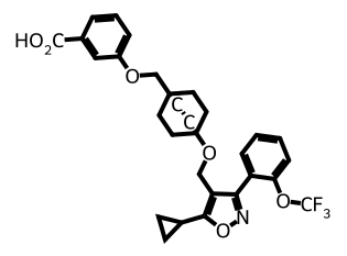 O=C(O)c1cccc(OCC23CCC(OCc4c(-c5ccccc5OC(F)(F)F)noc4C4CC4)(CC2)CC3)c1